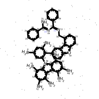 Bc1cc(B)c(-c2ccc3oc4cccc(C/N=C(\N=C(/N)c5ccccc5)c5ccccc5)c4c3c2)c(-n2c3c(B)cc(B)c(B)c3c3c(B)c(B)cc(B)c32)c1